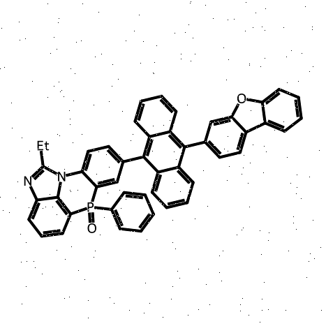 CCc1nc2cccc3c2n1-c1ccc(-c2c4ccccc4c(-c4ccc5c(c4)oc4ccccc45)c4ccccc24)cc1P3(=O)c1ccccc1